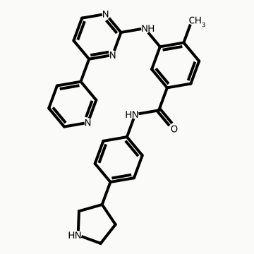 Cc1ccc(C(=O)Nc2ccc(C3CCNC3)cc2)cc1Nc1nccc(-c2cccnc2)n1